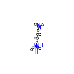 c1ccc(-c2cc(-c3ccc(-c4ccc(-c5ccc(-c6ccc(C7N=C(c8ccc9ccccc9c8)NC(c8ccccc8)N7)cc6)c6ccccc56)c5ccccc45)cc3)nc(-c3ccccc3)n2)cc1